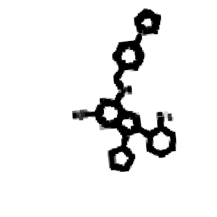 Nc1nc(NCc2ccc(-n3cccn3)cc2)c2nc(C3CCCCC3N)n(C3CCCC3)c2n1